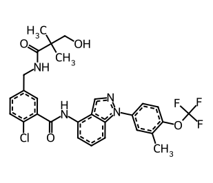 Cc1cc(-n2ncc3c(NC(=O)c4cc(CNC(=O)C(C)(C)CO)ccc4Cl)cccc32)ccc1OC(F)(F)F